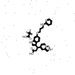 O=C(O)C(F)(F)F.O=C(O)CC(C1=CC2=CNSN2C=C1)c1c[nH]c2cc(OCCCNc3ccccn3)ccc12